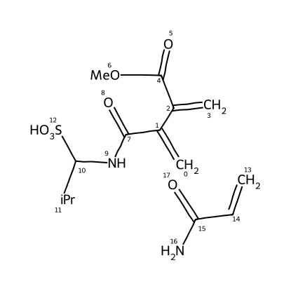 C=C(C(=C)C(=O)OC)C(=O)NC(C(C)C)S(=O)(=O)O.C=CC(N)=O